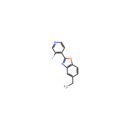 Fc1cnccc1-c1nc2cc(CC(F)(F)F)ccc2o1